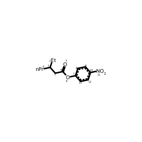 CCCC(CC)CC(=O)Oc1ccc([N+](=O)[O-])cc1